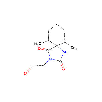 CC1CCCC(C)C12NC(=O)N(CC=O)C2=O